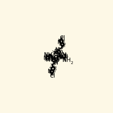 CC1(C)O[C@@H]2[C@H](O1)[C@@H](CCc1ccc3cc(Cl)cnc3c1)O[C@H]2n1c(CC2(C)O[C@@H]3[C@@H](CCc4ccc5cc(Cl)cnc5c4)C[C@@H](n4ccc5c(N)ncnc54)[C@@H]3O2)cc2c(N)ncnc21